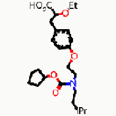 CCOC(Cc1ccc(OCCN(CCC(C)C)C(=O)OC2CCCC2)cc1)C(=O)O